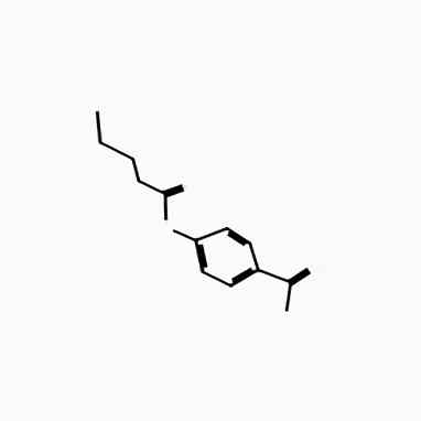 CCCCC(=O)Oc1ccc(C(C)=O)cc1